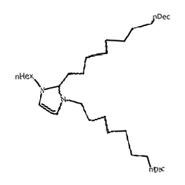 CCCCCCCCCCCCCCCCCCC1N(CCCCCC)C=CN1CCCCCCCCCCCCCCCCC